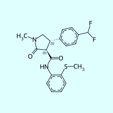 CSc1ccccc1NC(=O)[C@H]1C(=O)N(C)C[C@@H]1c1ccc(C(F)F)cc1